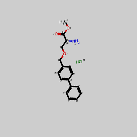 COC(=O)[C@@H](N)COCc1ccc(-c2ccccc2)cc1.Cl